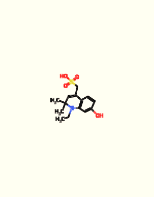 CCN1c2cc(O)ccc2C(CS(=O)(=O)O)=CC1(C)C